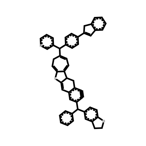 c1c(C(c2ccccc2)c2ccc3c(c2)CCO3)cc2c(c#1)CC1C(=C2)SC2=CCC(C(c3ccc(C4=Cc5ccccc5C4)cc3)c3cccnc3)=CC=C21